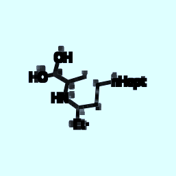 C[CH]C(CCCCCCCCC)NC(C)C(O)O